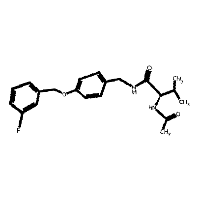 CC(=O)N[C@@H](C(=O)NCc1ccc(OCc2cccc(F)c2)cc1)C(C)C